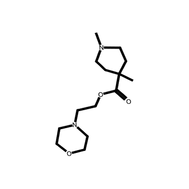 CN1CCC(C)(C(=O)OCCN2CCOCC2)CC1